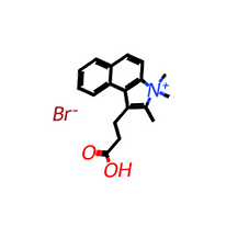 CC1=C(CCC(=O)O)c2c(ccc3ccccc23)[N+]1(C)C.[Br-]